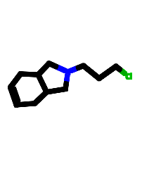 ClCCCN1CC2CC=CCC2C1